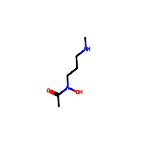 CNCCCN(O)C(C)=O